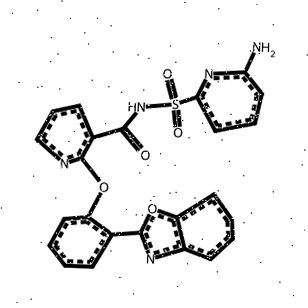 Nc1cccc(S(=O)(=O)NC(=O)c2cccnc2Oc2ccccc2-c2nc3ccccc3o2)n1